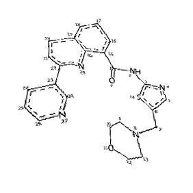 O=C(Nc1ncc(CN2CCOCC2)s1)c1cccc2ccc(-c3cccnc3)nc12